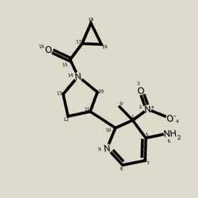 CC1([N+](=O)[O-])C(N)=CC=NC1C1CCN(C(=O)C2CC2)C1